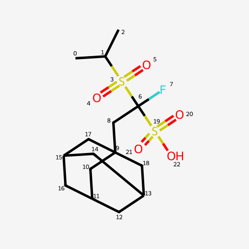 CC(C)S(=O)(=O)C(F)(CC12CC3CC(CC(C3)C1)C2)S(=O)(=O)O